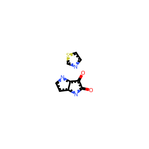 O=c1nc2ccnc-2c1=O.c1cscn1